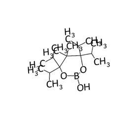 CC(C)C1(C(C)C)OB(O)OC(C(C)C)(C(C)C)C1(C)C